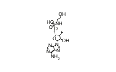 Nc1ncnc2c1ncn2[C@@H]1O[C@H](COP(=O)(O)NCCO)C(F)C1O